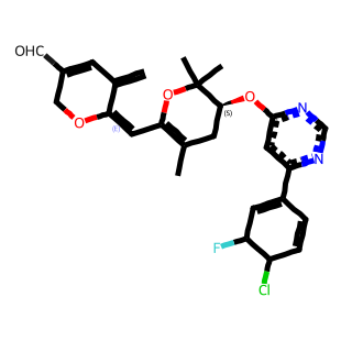 C=C1C=C(C=O)CO/C1=C/C1=C(C)C[C@H](Oc2cc(C3=CC(F)C(Cl)C=C3)ncn2)C(C)(C)O1